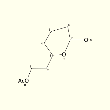 CC(=O)OCCC1CCCC([O])O1